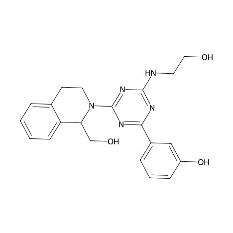 OCCNc1nc(-c2cccc(O)c2)nc(N2CCc3ccccc3C2CO)n1